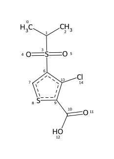 CC(C)S(=O)(=O)c1csc(C(=O)O)c1Cl